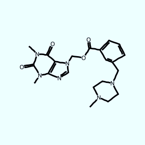 CN1CCN(Cc2cccc(C(=O)OCn3cnc4c3c(=O)n(C)c(=O)n4C)c2)CC1